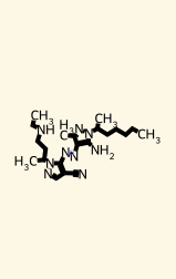 CCCCCC(C)n1nc(C)c(/N=N/c2c(C#N)cnn2C(C)CCNCC)c1N